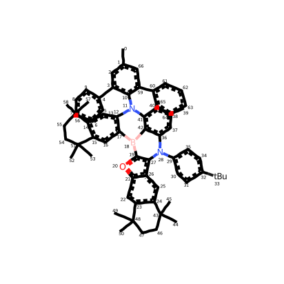 Cc1cc(-c2ccccc2)c(N2c3cc4c(cc3B3c5oc6cc7c(cc6c5N(c5ccc(C(C)(C)C)cc5)c5cc(C)cc2c53)C(C)(C)CCC7(C)C)C(C)(C)CCC4(C)C)c(-c2ccccc2)c1